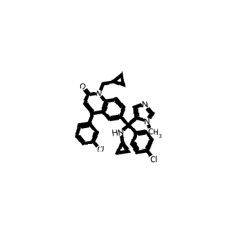 Cn1cncc1C(NC1CC1)(c1ccc(Cl)cc1)c1ccc2c(c1)c(-c1cccc(Cl)c1)cc(=O)n2CC1CC1